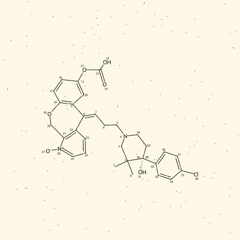 CC1(C)CN(CCC=C2c3cc(OC(=O)O)ccc3OCc3c2ccc[n+]3[O-])CC[C@@]1(O)c1ccc(Cl)cc1